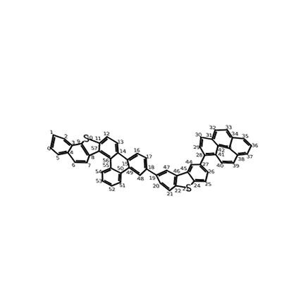 c1ccc2c(c1)ccc1c2sc2ccc3c4ccc(-c5ccc6sc7ccc(-c8ccc9ccc%10cccc%11ccc8c9c%10%11)cc7c6c5)cc4c4ccccc4c3c21